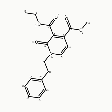 CCOC(=O)c1c(C(=O)OC)ccn(CCc2ccccc2)c1=O